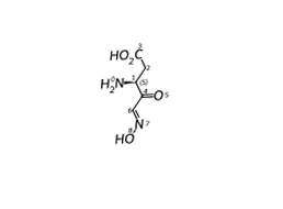 N[C@@H](CC(=O)O)C(=O)C=NO